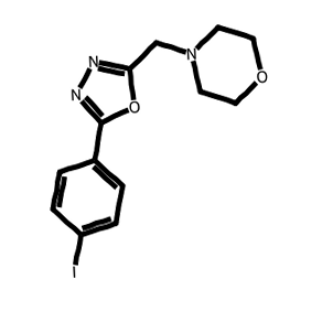 Ic1ccc(-c2nnc(CN3CCOCC3)o2)cc1